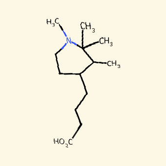 CC1C(CCCC(=O)O)CCN(C)C1(C)C